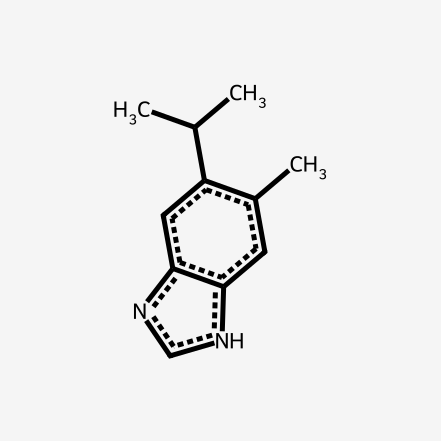 Cc1cc2[nH]cnc2cc1C(C)C